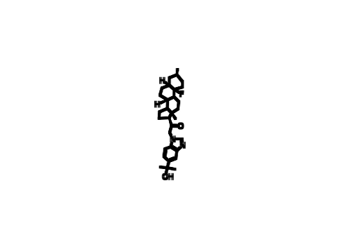 C[C@H]1CCC2(F)C3CC[C@@]4(C)C(CC[C@@H]4C(=O)Cn4cnc5cc(C(C)(C)O)ccc54)[C@@H]3CC[C@@H]2C1